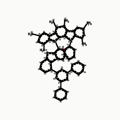 Bc1cc(B)c2c(c1)c1c(B)c(B)c3c4cc(B)cc(B)c4n(-c4cccc5c4sc4cccc(-c6nc(-c7ccccc7)cc(-c7ccccc7)n6)c45)c3c1n2-c1ccccc1